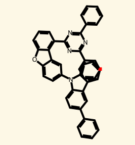 c1ccc(-c2ccc3c(c2)c2ccccc2n3-c2ccc3oc4cccc(-c5nc(-c6ccccc6)nc(-c6ccccc6)n5)c4c3c2)cc1